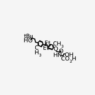 CCC(CC)(c1ccc(CC[C@H](O)C(C)(C)C)c(C)c1)c1ccc(OCC(=O)NC(CO)C(=O)O)c(C)c1